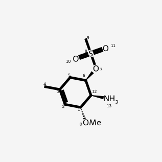 CO[C@@H]1C=C(C)C[C@@H](OS(C)(=O)=O)[C@H]1N